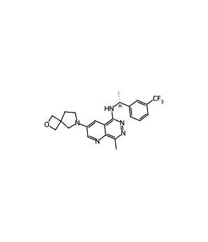 Cc1nnc(N[C@H](C)c2cccc(C(F)(F)F)c2)c2cc(N3CCC4(COC4)C3)cnc12